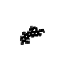 Nc1c(F)cc2nc3c(c4c2c1SCC4(F)F)Cn1c-3cc2c(c1=O)COC(=O)C2O